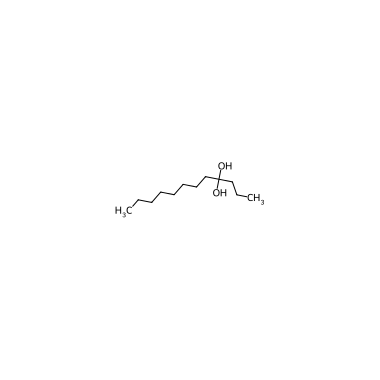 CCCCCCCCC(O)(O)CCC